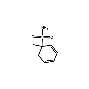 CC1(S(N)(=O)=O)C=CC=CC1